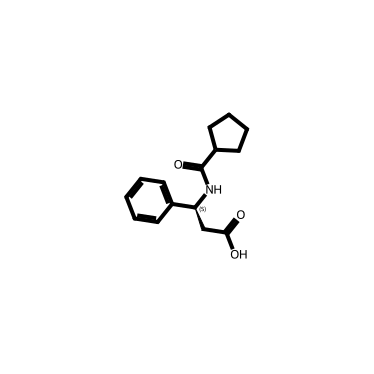 O=C(O)C[C@H](NC(=O)C1CCCC1)c1ccccc1